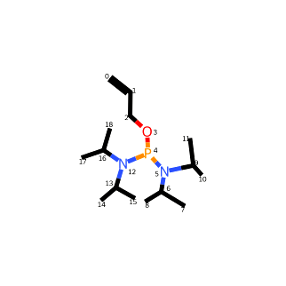 C=CCOP(N(C(C)C)C(C)C)N(C(C)C)C(C)C